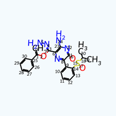 C=C(O/C(=N\N)c1nc(-c2ccccc2S(=O)(=O)C(C)C)cnc1N)c1ccccc1